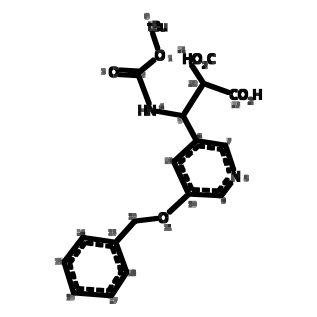 CC(C)(C)OC(=O)NC(c1cncc(OCc2ccccc2)c1)C(C(=O)O)C(=O)O